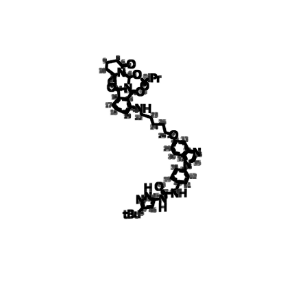 CC(C)C(=O)OC(N1C(=O)CCCC1=O)N1C(=O)c2cccc(NCCCCCOc3ccc4c(c3)ncn4-c3ccc(NC(=O)Nc4cc(C(C)(C)C)n[nH]4)cc3)c2C1=O